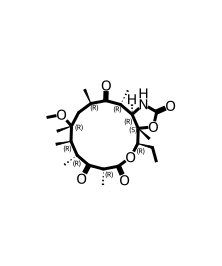 CC[C@H]1OC(=O)[C@H](C)C(=O)[C@H](C)[C@@H](C)[C@](C)(OC)C[C@@H](C)C(=O)[C@H](C)[C@H]2NC(=O)O[C@@]21C